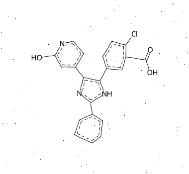 O=C(O)c1cc(-c2[nH]c(-c3ccccc3)nc2-c2ccnc(O)c2)ccc1Cl